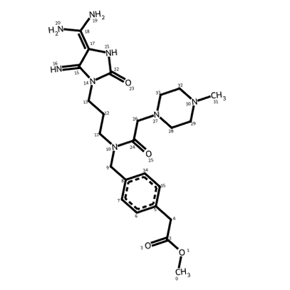 COC(=O)Cc1ccc(CN(CCCN2C(=N)C(=C(N)N)NC2=O)C(=O)CN2CCN(C)CC2)cc1